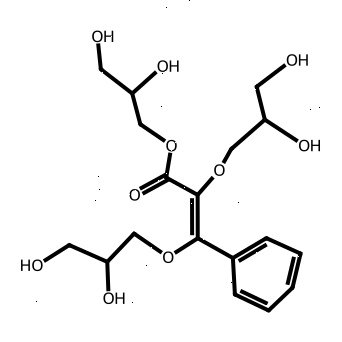 O=C(OCC(O)CO)C(OCC(O)CO)=C(OCC(O)CO)c1ccccc1